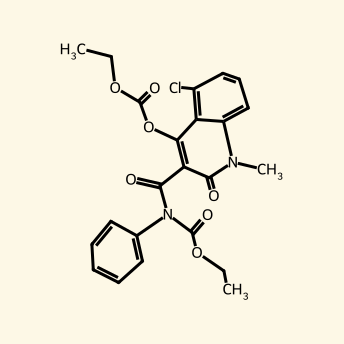 CCOC(=O)Oc1c(C(=O)N(C(=O)OCC)c2ccccc2)c(=O)n(C)c2cccc(Cl)c12